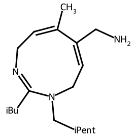 CCCC(C)CN1C/C=C(CN)\C(C)=C/C/N=C\1C(C)CC